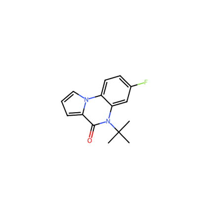 CC(C)(C)n1c(=O)c2cccn2c2ccc(F)cc21